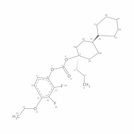 CCC[C@]1(OC(=O)Oc2ccc(OCC)c(F)c2F)CC[C@@H](C2CCCCC2)CC1